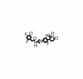 O=C1CCC(c2c(F)cc(N3CC(NC(=O)Cc4cc(Cl)c(F)cc4F)C3)cc2F)C(=O)N1